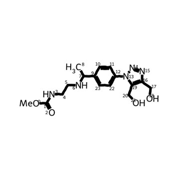 COC(=O)NCCNC(C)c1ccc(-n2nnc(CO)c2CO)cc1